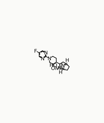 COC1CN(c2ncc(F)cn2)CCC1C1C[C@H]2CC[C@@H](C1)N2C(=O)O